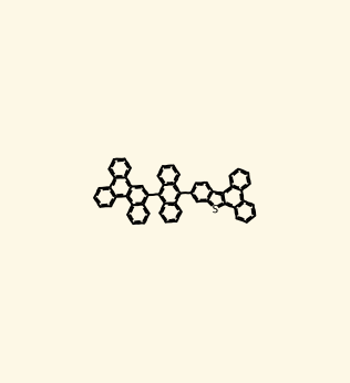 c1ccc2c(-c3cc4c5ccccc5c5ccccc5c4c4ccccc34)c3ccccc3c(-c3ccc4c(c3)sc3c5ccccc5c5ccccc5c43)c2c1